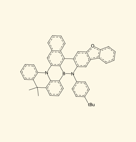 CC(C)(C)c1ccc(N2B3c4cccc5c4N(c4ccccc4C5(C)C)c4cc5ccccc5c(c43)-c3cc4oc5ccccc5c4cc32)cc1